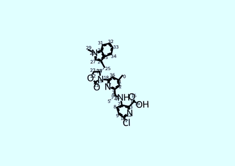 Cc1cc([C@@H](C)Nc2ccc(Cl)nc2C(=O)O)nc(N2C(=O)OC[C@@H]2Cc2cn(C)c3ccccc23)c1